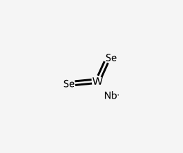 [Nb].[Se]=[W]=[Se]